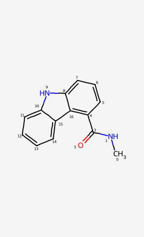 CNC(=O)c1cccc2[nH]c3ccccc3c12